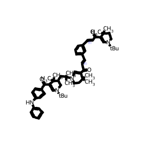 CC1(C)CCN(C(C)(C)C)C=C1C(=O)/C=C/c1cccc(/C=C/C(=O)C2=CN(C(C)(C)CC3CN(C(C)(C)C)C=C(C(=O)c4ccc(Nc5ccccc5)cc4)C3(C)C)CCC2(C)C)c1